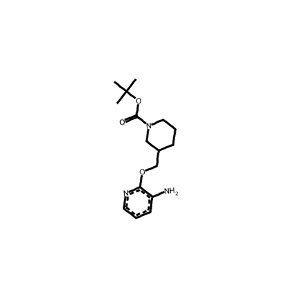 CC(C)(C)OC(=O)N1CCCC(COc2ncccc2N)C1